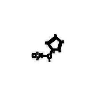 O=[N+]([O-])OC1C=CC=C1